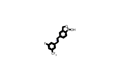 OB1OCc2cc(/C=C/c3cc(F)cc(C(F)(F)F)c3)ccc21